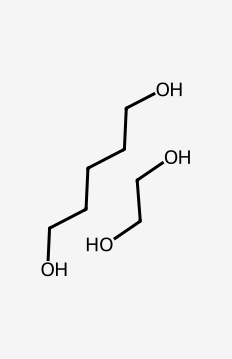 OCCCCCO.OCCO